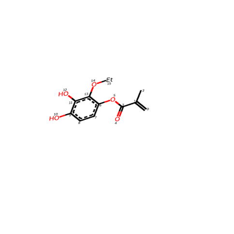 C=C(C)C(=O)Oc1ccc(O)c(O)c1OCC